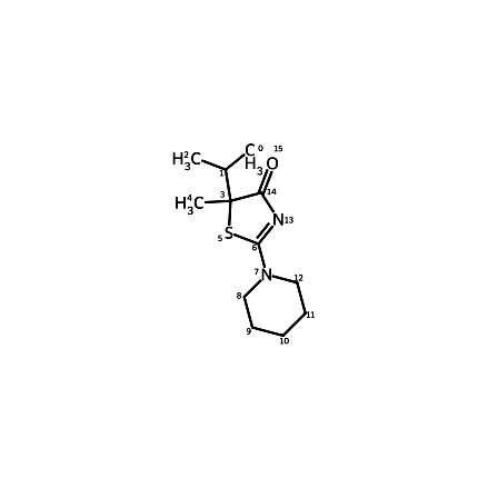 CC(C)C1(C)SC(N2CCCCC2)=NC1=O